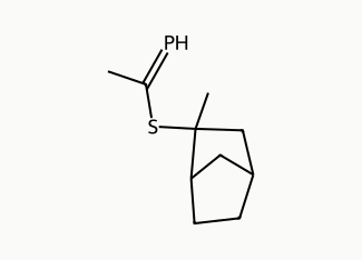 CC(=P)SC1(C)CC2CCC1C2